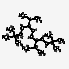 CC(C)C(OOC(OOC(C)(C)C)C(C)C)OOC(C)(C)C